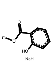 O=C(OCl)c1ccccc1O.[NaH]